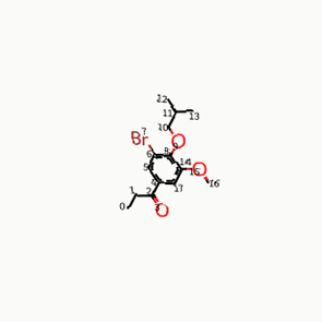 CCC(=O)c1cc(Br)c(OCC(C)C)c(OC)c1